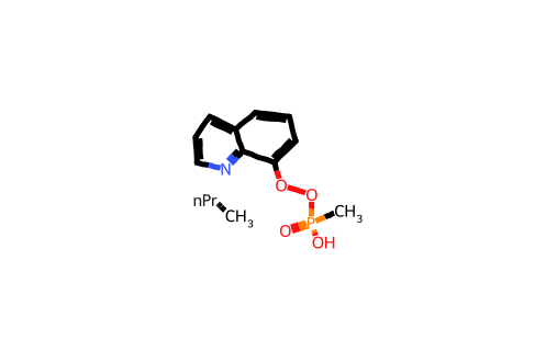 CCCC.CP(=O)(O)OOc1cccc2cccnc12